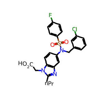 CCCc1nc2cc(N(Cc3cccc(Cl)c3)S(=O)(=O)c3ccc(F)cc3)ccc2n1CC(=O)O